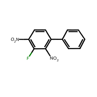 O=[N+]([O-])c1ccc(-c2ccccc2)c([N+](=O)[O-])c1F